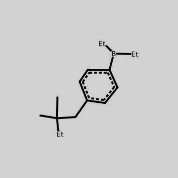 CCB(CC)c1ccc(CC(C)(C)CC)cc1